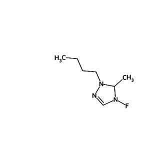 CCCCN1N=CN(F)C1C